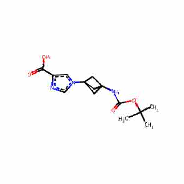 CC(C)(C)OC(=O)NC12CC(n3cnc(C(=O)O)c3)(C1)C2